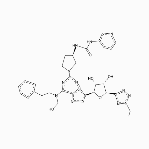 CCn1nnc([C@H]2O[C@@H](n3cnc4c(N(CO)CCc5ccccc5)nc(N5CC[C@@H](NC(=O)Nc6cccnc6)C5)nc43)[C@H](O)[C@@H]2O)n1